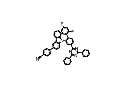 N#Cc1ccc(-c2ccc3c(c2)c2ccccc2n3-c2cc(-c3nc(-c4ccccc4)nc(-c4ccccc4)n3)ccc2-c2ccc(F)cc2F)cc1